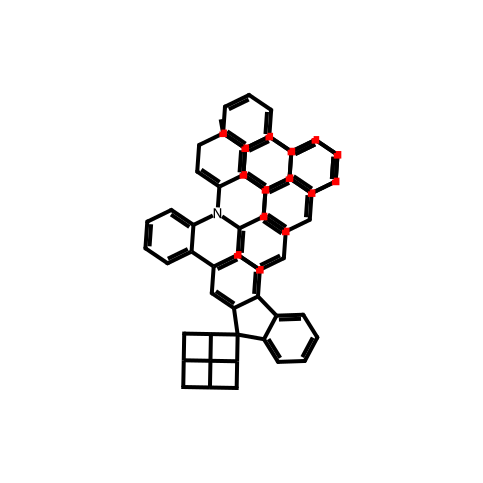 CC1C=C(c2cccc3cccc(-c4ccccc4)c23)C(N(c2ccccc2-c2ccc3c(c2)C2(c4ccccc4-3)C3CC4CC5CC2C453)c2ccccc2-c2cccc3ccccc23)=CC1